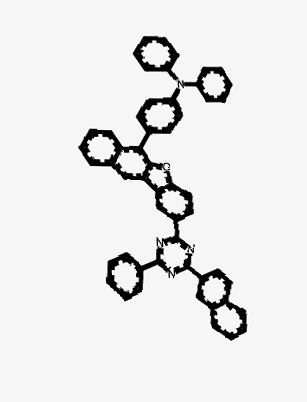 c1ccc(-c2nc(-c3ccc4ccccc4c3)nc(-c3ccc4oc5c(-c6ccc(N(c7ccccc7)c7ccccc7)cc6)c6ccccc6cc5c4c3)n2)cc1